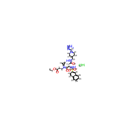 CCOC(=O)CCN(C(=O)[C@H](CC(=O)NCC1CCN(C=NN)CC1)NS(=O)(=O)c1ccc2ccccc2c1)C1CC1.Cl